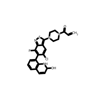 C=CC(=O)N1CCN(c2snc3c(F)c(-c4cccc5c4NC(O)C=C5)c(Cl)cc23)CC1